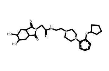 O=C(CN1C(=O)C2CC(O)C(O)CC2C1=O)NCCN1CCN(c2ccccc2OC2CCCC2)CC1